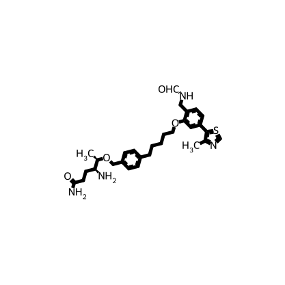 Cc1ncsc1-c1ccc(CNC=O)c(OCCCCCc2ccc(CO[C@H](C)[C@@H](N)CCC(N)=O)cc2)c1